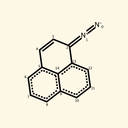 [N-]=[N+]=C1C=Cc2cccc3cccc1c23